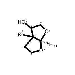 OC1CO[C@H]2OCCC12Br